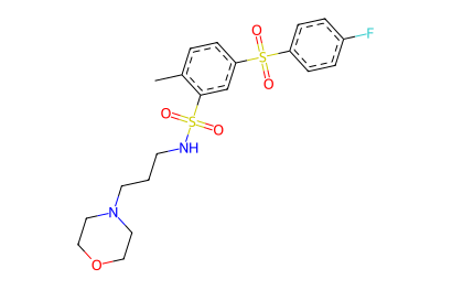 Cc1ccc(S(=O)(=O)c2ccc(F)cc2)cc1S(=O)(=O)NCCCN1CCOCC1